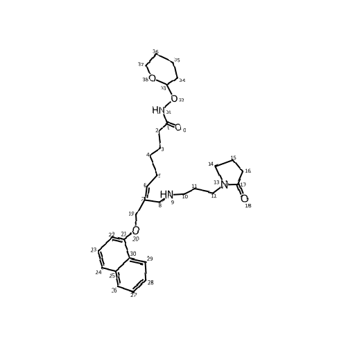 O=C(CCCCC=C(CNCCCN1CCCC1=O)COc1cccc2ccccc12)NOC1CCCCO1